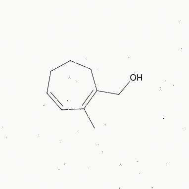 CC1=C(CO)CCCC=C1